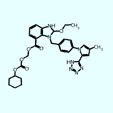 CCOC1Nc2cccc(C(=O)OCOC(=O)OC3CCCCC3)c2N1Cc1ccc(-n2cc(C)cc2-c2nnn[nH]2)cc1